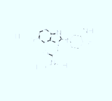 COc1ccc2nc(N3CC[C@@H](F)[C@H](N)C3)n(CC(=O)N(C)C)c2c1